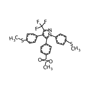 CSc1ccc(-c2c(C(F)(F)F)nn(-c3ccc(SC)cc3)c2-c2ccc(S(C)(=O)=O)cc2)cc1